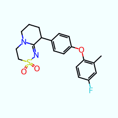 Cc1cc(F)ccc1Oc1ccc(C2CCCN3CCS(=O)(=O)N=C23)cc1